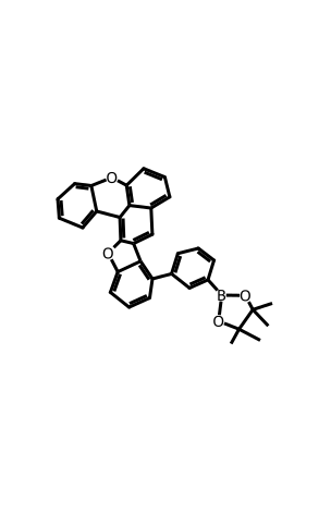 CC1(C)OB(c2cccc(-c3cccc4oc5c6c7c(cccc7cc5c34)Oc3ccccc3-6)c2)OC1(C)C